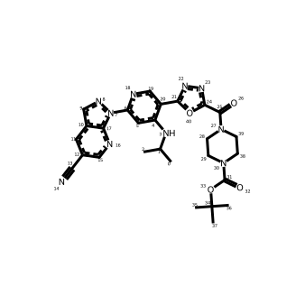 CC(C)Nc1cc(-n2ncc3cc(C#N)cnc32)ncc1-c1nnc(C(=O)N2CCN(C(=O)OC(C)(C)C)CC2)o1